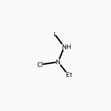 CCN(Cl)NI